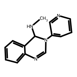 CNC1c2ccccc2N=CN1c1cccnc1